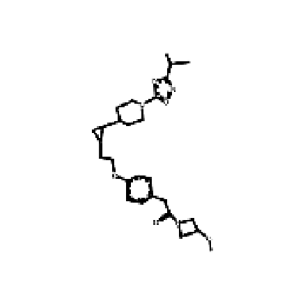 COC1CN(C(=O)Cc2ccc(OCCC3CC3C3CCN(c4nc(C(C)C)no4)CC3)cc2)C1